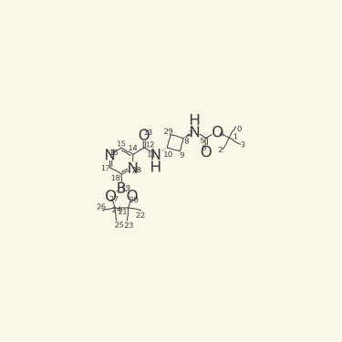 CC(C)(C)OC(=O)N[C@H]1C[C@H](NC(=O)c2cncc(B3OC(C)(C)C(C)(C)O3)n2)C1